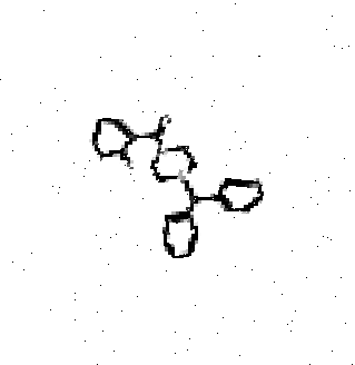 O=C(C1=CC=CCC1=S)N1CCN(C(c2ccccc2)c2ccccc2)CC1